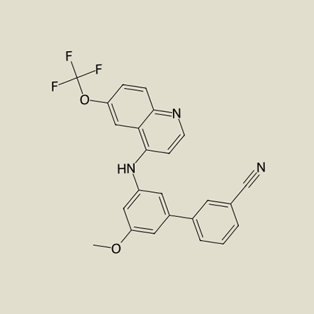 COc1cc(Nc2ccnc3ccc(OC(F)(F)F)cc23)cc(-c2cccc(C#N)c2)c1